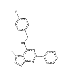 Cc1csc2nc(-c3cccnc3)nc(NCc3ccc(F)cc3)c12